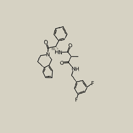 CC(C(=O)NCc1cc(F)cc(F)c1)C(=O)N[C@H](C(=O)N1CCc2ccccc2C1)c1ccccc1